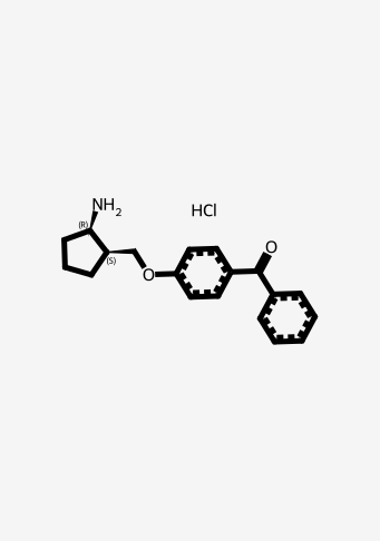 Cl.N[C@@H]1CCC[C@@H]1COc1ccc(C(=O)c2ccccc2)cc1